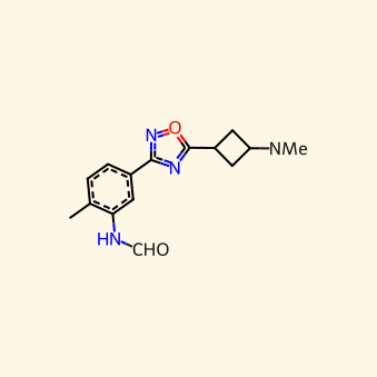 CNC1CC(c2nc(-c3ccc(C)c(NC=O)c3)no2)C1